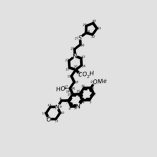 COc1ccc2ncc(CN3CCOCC3)c([C@H](O)CCC3(C(=O)O)CCN(CCSC4CCCC4)CC3)c2c1